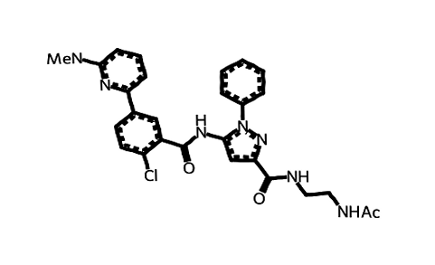 CNc1cccc(-c2ccc(Cl)c(C(=O)Nc3cc(C(=O)NCCNC(C)=O)nn3-c3ccccc3)c2)n1